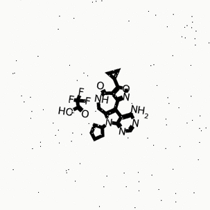 Nc1ncnc2c1c1c(n2C2CCCC2)CNC(=O)c2c-1noc2C1CC1.O=C(O)C(F)(F)F